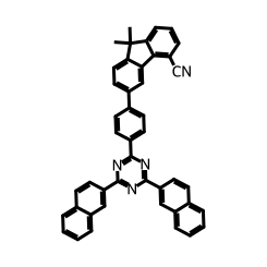 CC1(C)c2ccc(-c3ccc(-c4nc(-c5ccc6ccccc6c5)nc(-c5ccc6ccccc6c5)n4)cc3)cc2-c2c(C#N)cccc21